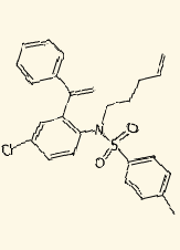 C=CCCCN(c1ccc(Cl)cc1C(=C)c1ccccc1)S(=O)(=O)c1ccc(C)cc1